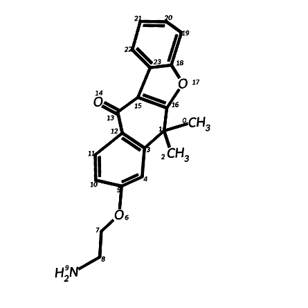 CC1(C)c2cc(OCCN)ccc2C(=O)c2c1oc1ccccc21